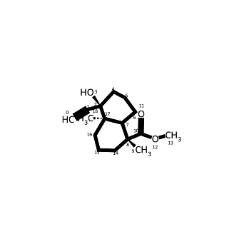 C#C[C@]1(O)CCCC2[C@](C)(C(=O)OC)CCC[C@]21C